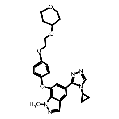 Cn1ncc2cc(-c3nncn3C3CC3)cc(Oc3ccc(OCCOC4CCOCC4)cc3)c21